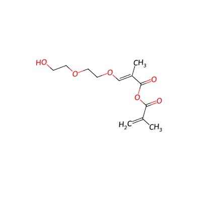 C=C(C)C(=O)OC(=O)C(C)=COCCOCCO